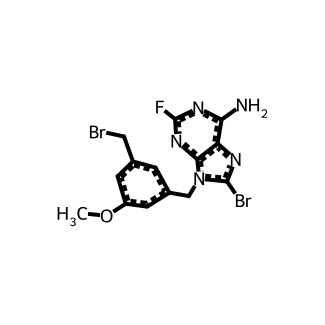 COc1cc(CBr)cc(Cn2c(Br)nc3c(N)nc(F)nc32)c1